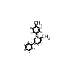 C=C1C=CC(c2ccccc2)=CN1c1ccc(C)cc1